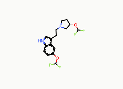 FC(F)Oc1ccc2[nH]cc(CCN3CC[C@H](OC(F)F)C3)c2c1